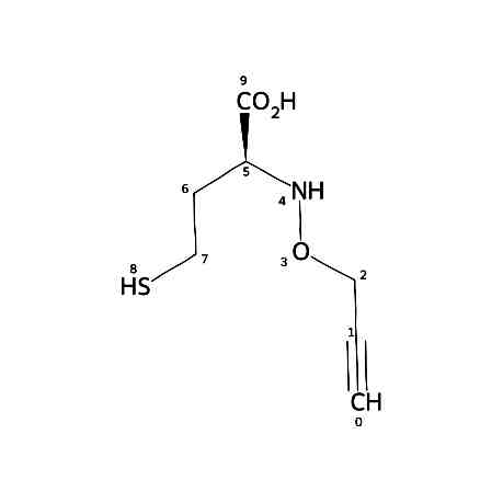 C#CCON[C@@H](CCS)C(=O)O